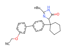 CCCCC1=NC(C2(c3ccc(-c4cccc(OCC#N)c4)cc3)CCCCC2)C(=O)N1